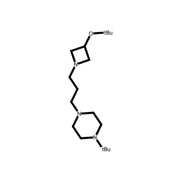 CC(C)(C)OC1CN(CCCN2CCN(C(C)(C)C)CC2)C1